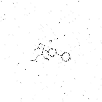 CCCC(N)C1(c2ccc(-c3ccccc3)cc2)CCC1I.Cl